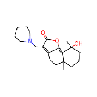 CC1(O)CCCC2(C)CCC3=C(CN4CCCCC4)C(=O)OC3=C12